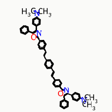 CN(C)c1ccc(-c2nc(-c3ccc(C=Cc4ccc(C=Cc5ccc(-c6nc(-c7ccc(N(C)C)cc7)c(-c7ccccc7)o6)cc5)cc4)cc3)oc2-c2ccccc2)cc1